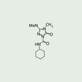 CNc1nn(C(=O)NC2CCCCC2)c(=O)n1C